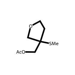 CSC1(COC(C)=O)CCOC1